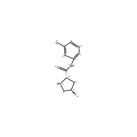 O=C(Nc1cncc(Cl)n1)[C@@H]1C[C@@H](F)CN1